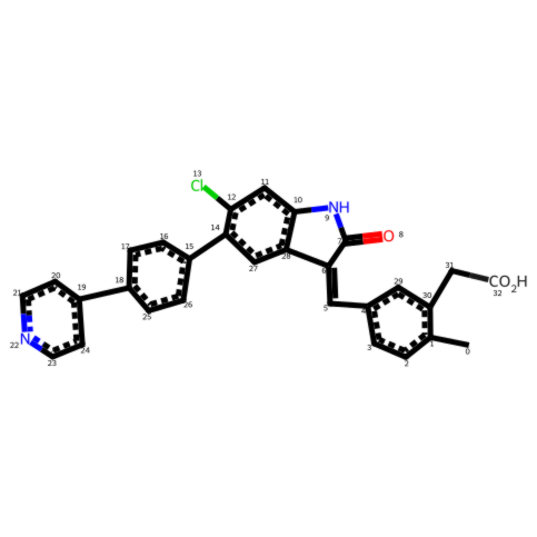 Cc1ccc(C=C2C(=O)Nc3cc(Cl)c(-c4ccc(-c5ccncc5)cc4)cc32)cc1CC(=O)O